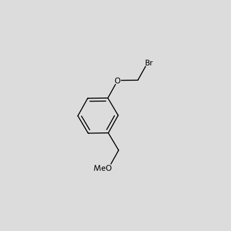 COCc1cccc(OCBr)c1